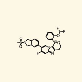 CS(=O)(=O)N1Cc2ccc(-c3cn4c5c(nc4cc3F)CCO[C@@H]5c3ccccc3OC(F)F)cc2C1